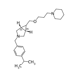 CC(C)c1ccc(CN2C[C@@H]3C(COCCCN4CCCCC4)[C@@H]3C2)cc1